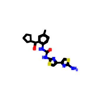 Cc1ccc(NC(=O)Nc2nc(-c3csc(N)n3)cs2)c(C(=O)C2CCCC2)c1